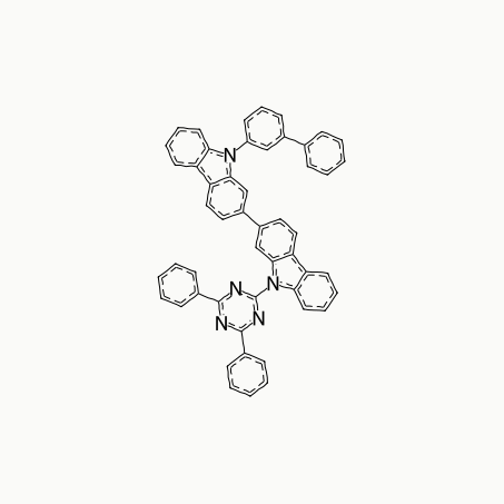 c1ccc(-c2cccc(-n3c4ccccc4c4ccc(-c5ccc6c7ccccc7n(-c7nc(-c8ccccc8)nc(-c8ccccc8)n7)c6c5)cc43)c2)cc1